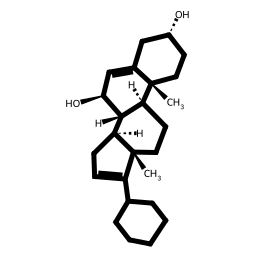 C[C@]12CC[C@@H](O)CC1=C[C@H](O)[C@@H]1[C@@H]2CC[C@]2(C)C(C3CCCCC3)=CC[C@@H]12